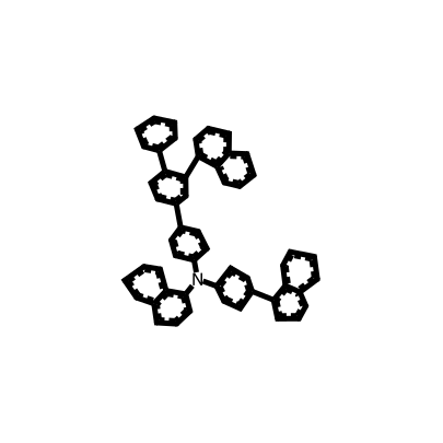 c1ccc(-c2ccc(-c3ccc(N(c4ccc(-c5cccc6ccccc56)cc4)c4cccc5ccccc45)cc3)cc2-c2cccc3ccccc23)cc1